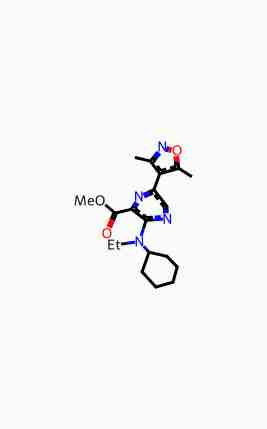 CCN(c1ncc(-c2c(C)noc2C)nc1C(=O)OC)C1CCCCC1